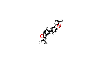 C=C(C)C(=O)Cc1cccc(-c2cccc(CC(=O)C(=C)C)c2)c1